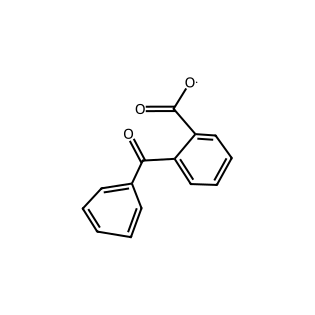 [O]C(=O)c1ccccc1C(=O)c1ccccc1